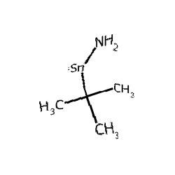 C[C](C)(C)[Sn][NH2]